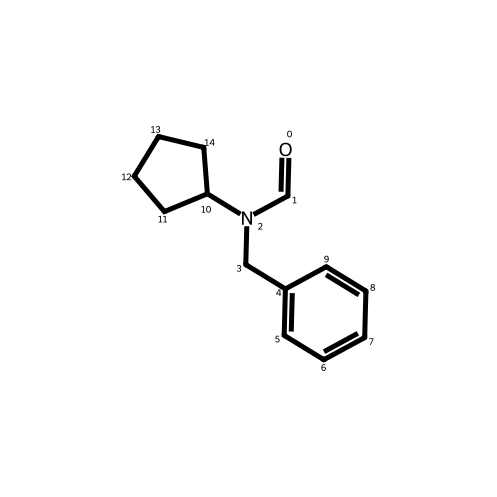 O=CN(Cc1ccccc1)C1CCCC1